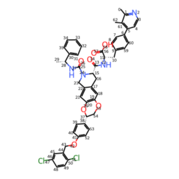 Cc1nccc(-c2ccc(C[C@H](NC(=O)[C@@H]3Cc4cc5c(cc4CN3C(=O)N[C@H](C)c3ccccc3)O[C@@H](c3ccc(OCc4cc(Cl)ccc4Cl)cc3)CO5)C(=O)O)cc2)c1C